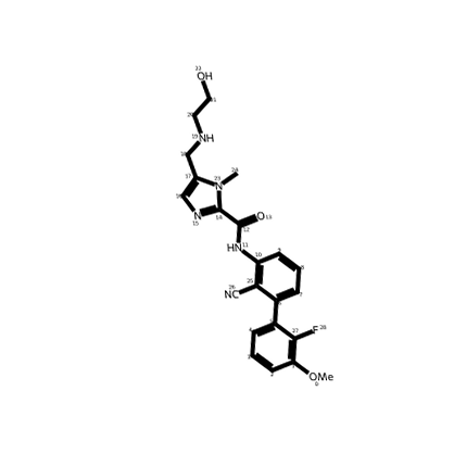 COc1cccc(-c2cccc(NC(=O)c3ncc(CNCCO)n3C)c2C#N)c1F